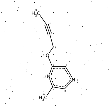 CC#CCOc1cncc(C)n1